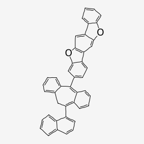 c1ccc2c(c1)CC(c1cccc3ccccc13)=c1ccccc1=C2c1ccc2c(c1)oc1cc3c(cc12)oc1ccccc13